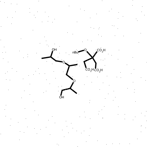 CC(O)COC(C)COC(C)CO.CCCCOC(CC(=O)O)(CC(=O)O)C(=O)O